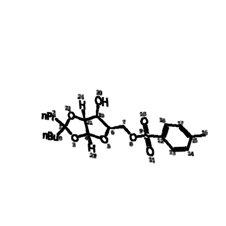 CCCCC1(CCC)O[C@H]2O[C@H](COS(=O)(=O)c3ccc(C)cc3)[C@H](O)[C@H]2O1